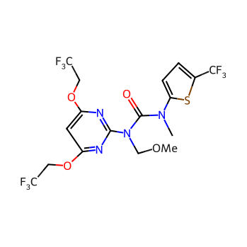 COCN(C(=O)N(C)c1ccc(C(F)(F)F)s1)c1nc(OCC(F)(F)F)cc(OCC(F)(F)F)n1